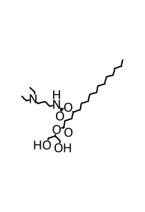 CCCCCCCCCCCCC(CCC(=O)OC(CO)CO)OC(=O)NCCCN(CC)CC